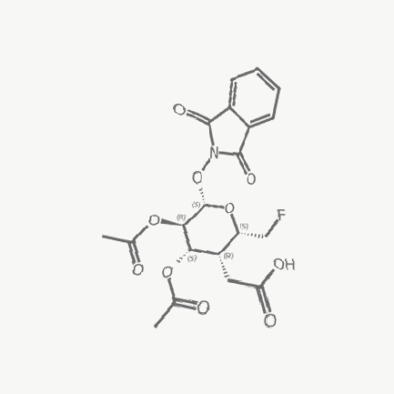 CC(=O)O[C@H]1[C@H](ON2C(=O)c3ccccc3C2=O)O[C@H](CF)[C@H](CC(=O)O)[C@@H]1OC(C)=O